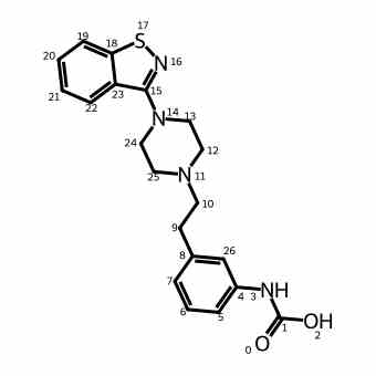 O=C(O)Nc1cccc(CCN2CCN(c3nsc4ccccc34)CC2)c1